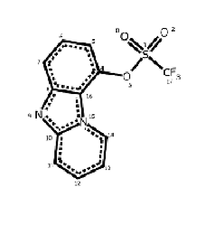 O=S(=O)(Oc1cccc2nc3ccccn3c12)C(F)(F)F